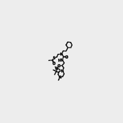 CC(=O)SCCN(CCC1CCCCC1)C(=O)NCC(CN1CCN(C)CC1)O[Si](C)(C)C(C)(C)C